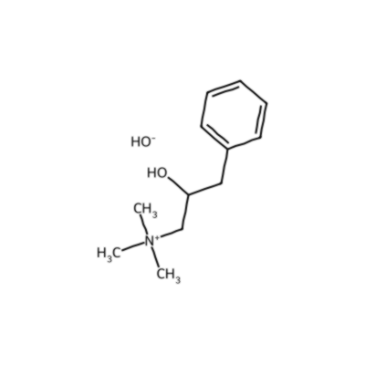 C[N+](C)(C)CC(O)Cc1ccccc1.[OH-]